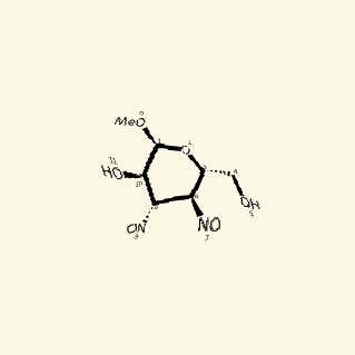 CO[C@H]1O[C@H](CO)[C@@H](N=O)[C@H](N=O)[C@H]1O